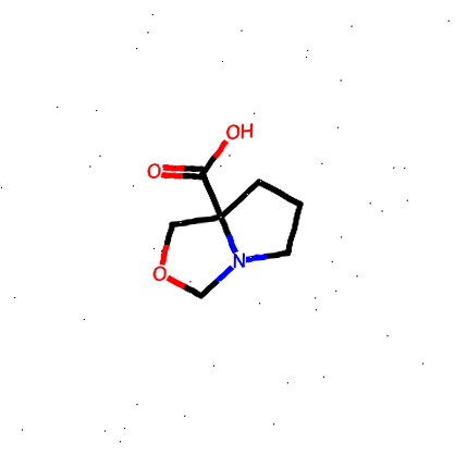 O=C(O)C12CCCN1COC2